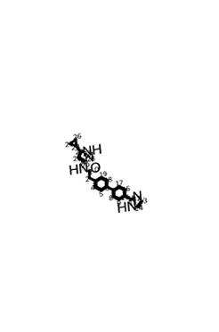 O=C(Cc1ccc(-c2ccc(-c3ncc[nH]3)cc2)cc1)Nc1cc(C2CC2)[nH]n1